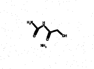 N.NC(=O)NC(=O)CO